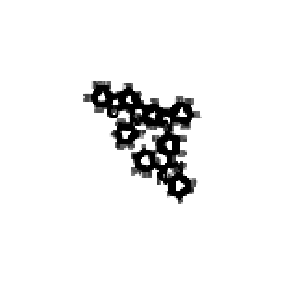 c1ccc(-c2nc3ccccc3nc2-c2ccc(-n3c4ccccc4c4cc5c6ccc7c8ccccc8oc7c6n(-c6ccccc6)c5cc43)cc2)cc1